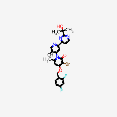 Cc1cnc(-c2ccnc(C(C)(C)O)n2)cc1-n1c(C)cc(OCc2ccc(F)cc2F)c(Br)c1=O